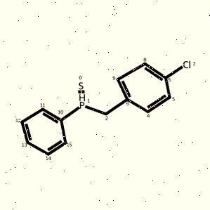 S=[PH](Cc1ccc(Cl)cc1)c1ccccc1